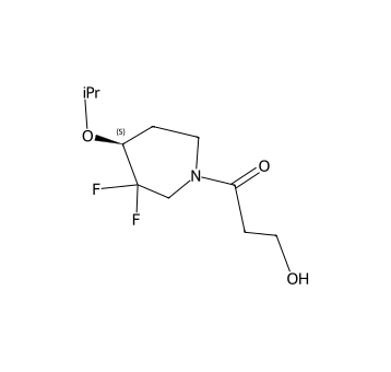 CC(C)O[C@H]1CCN(C(=O)CCO)CC1(F)F